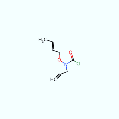 C#CCN(OCC=CC)C(=O)Cl